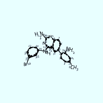 Cc1ccc(-c2ccc3nc(N)nc(Nc4cccc(Br)c4)c3c2)c(N)c1